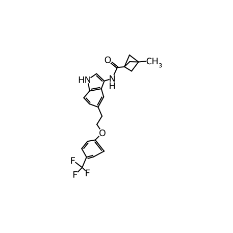 CC12CC(C(=O)Nc3c[nH]c4ccc(CCOc5ccc(C(F)(F)F)cc5)cc34)(C1)C2